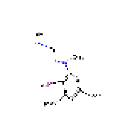 COc1cc(OC)c(P)c(N(C)CCNC(C)C)c1